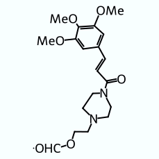 COc1cc(C=CC(=O)N2CCN(CCO[C]=O)CC2)cc(OC)c1OC